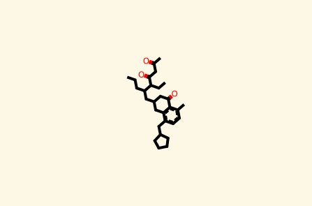 CCCC(CC1CC(=O)c2c(C)ccc(CC3CCCC3)c2C1)C(CC)C(=O)CC(C)=O